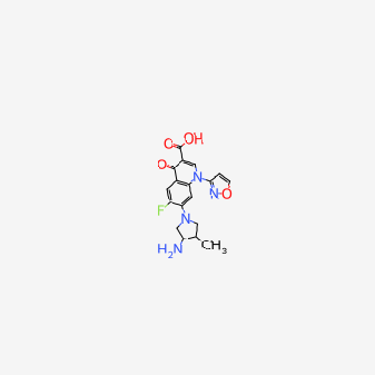 CC1CN(c2cc3c(cc2F)c(=O)c(C(=O)O)cn3-c2ccon2)CC1N